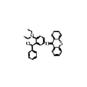 CCN(CC)c1ccccc1C(=O)c1ccccc1.O=c1c2ccccc2sc2ccccc12